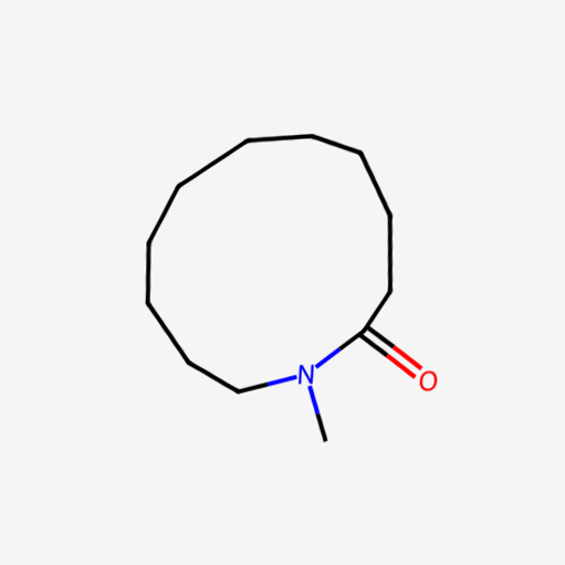 CN1CCCCCCCCCCC1=O